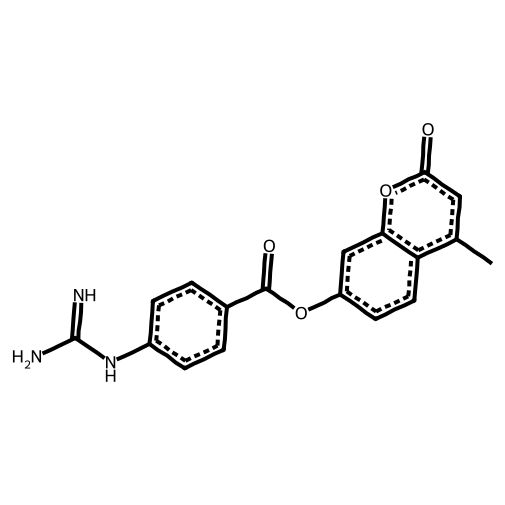 Cc1cc(=O)oc2cc(OC(=O)c3ccc(NC(=N)N)cc3)ccc12